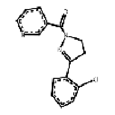 O=C(c1cccnc1)N1CCC(c2ccccc2Cl)=N1